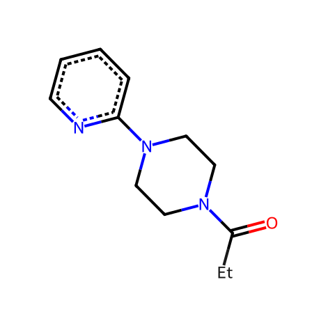 CCC(=O)N1CCN(c2ccccn2)CC1